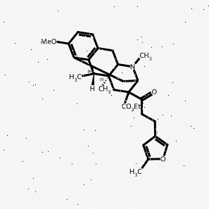 CCOC(=O)C1(C(=O)CCc2coc(C)c2)C[C@]2(C)C3Cc4ccc(OC)c(c4[C@H]2C)CC1N3C